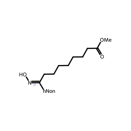 CCCCCCCCC/C(CCCCCCCC(=O)OC)=N/O